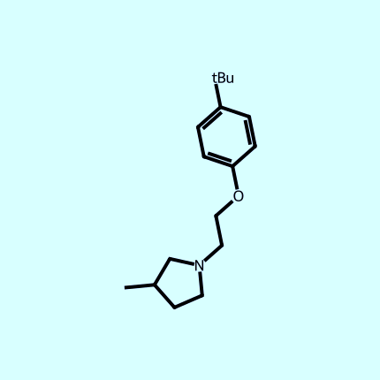 CC1CCN(CCOc2ccc(C(C)(C)C)cc2)C1